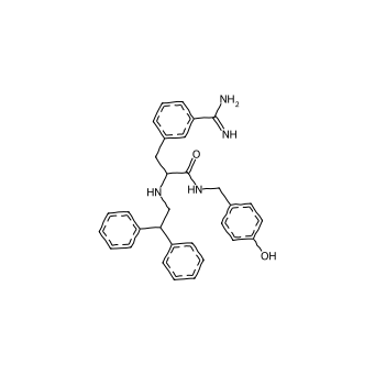 N=C(N)c1cccc(CC(NCC(c2ccccc2)c2ccccc2)C(=O)NCc2ccc(O)cc2)c1